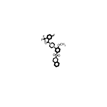 COc1ccc(S(=O)(=O)N2CCc3ccccc3C2)cc1N1CCN(C(=O)c2cc(F)ccc2C(F)(F)F)CC1